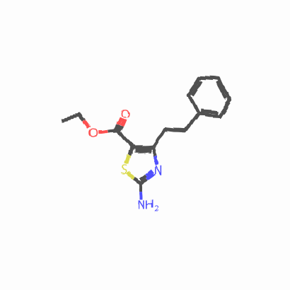 CCOC(=O)c1sc(N)nc1CCc1ccccc1